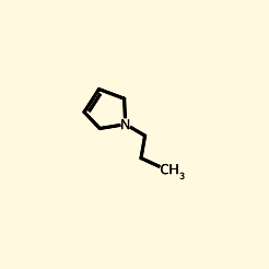 CCCN1CC=CC1